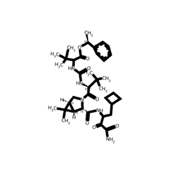 C[C@H](OC(=O)C(NC(=O)N[C@H](C(=O)N1C[C@H]2[C@@H]([C@H]1C(=O)NC(CC1CCC1)C(=O)C(N)=O)C2(C)C)C(C)(C)C)C(C)(C)C)c1ccccc1